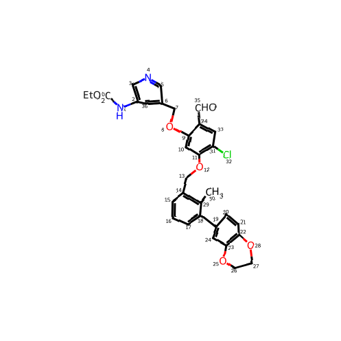 CCOC(=O)Nc1cncc(COc2cc(OCc3cccc(-c4ccc5c(c4)OCCO5)c3C)c(Cl)cc2C=O)c1